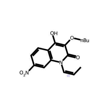 C/C=C\n1c(=O)c(OCCCC)c(O)c2ccc([N+](=O)[O-])cc21